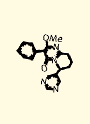 COc1nc2n(c(=O)c1-c1ccccc1)C(c1cncnc1)CCC2